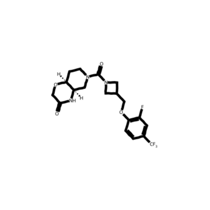 O=C1CO[C@H]2CCN(C(=O)N3CC(COc4ccc(C(F)(F)F)cc4F)C3)C[C@H]2N1